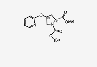 COC(=O)[C@H]1C[C@H](Oc2ccccn2)CN1C(=O)OC(C)(C)C